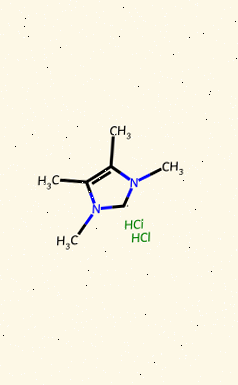 CC1=C(C)N(C)[CH]N1C.Cl.Cl